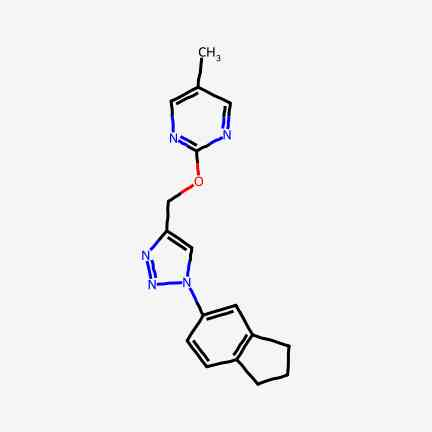 Cc1cnc(OCc2cn(-c3ccc4c(c3)CCC4)nn2)nc1